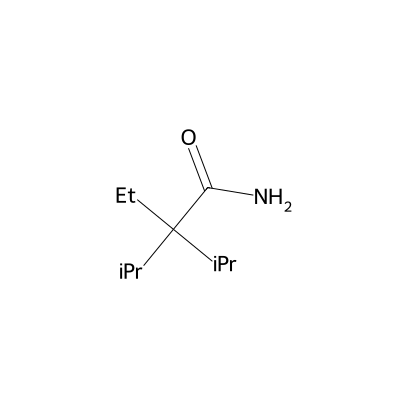 [CH2]CC(C(N)=O)(C(C)C)C(C)C